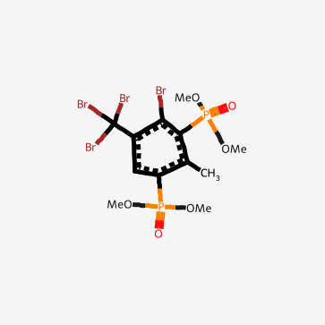 COP(=O)(OC)c1cc(C(Br)(Br)Br)c(Br)c(P(=O)(OC)OC)c1C